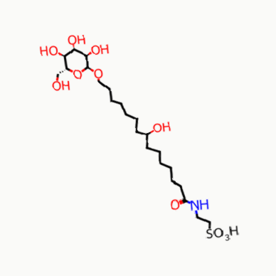 O=C(CCCCCCC(O)CCCCCCCOC1O[C@H](CO)[C@@H](O)[C@H](O)[C@H]1O)NCCS(=O)(=O)O